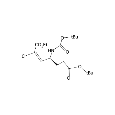 CCOC(=O)/C(Cl)=C\[C@H](CCC(=O)OC(C)(C)C)NC(=O)OC(C)(C)C